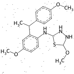 COc1ccc(C(C)c2cc(OC)ccc2NC2NNC(OC)S2)cc1